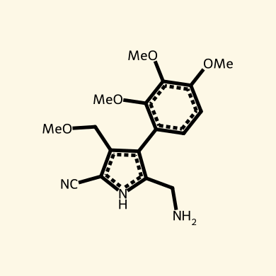 COCc1c(C#N)[nH]c(CN)c1-c1ccc(OC)c(OC)c1OC